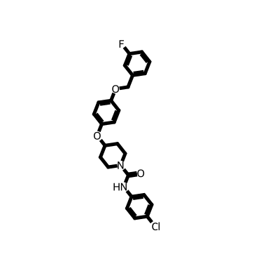 O=C(Nc1ccc(Cl)cc1)N1CCC(Oc2ccc(OCc3cccc(F)c3)cc2)CC1